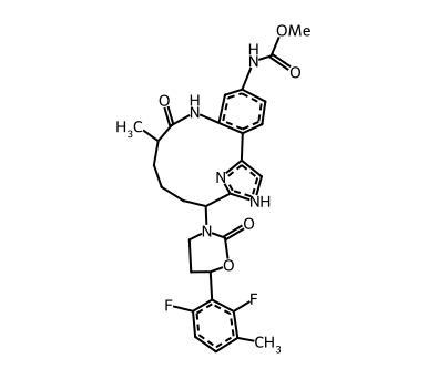 COC(=O)Nc1ccc2c(c1)NC(=O)C(C)CCCC(N1CCC(c3c(F)ccc(C)c3F)OC1=O)c1nc-2c[nH]1